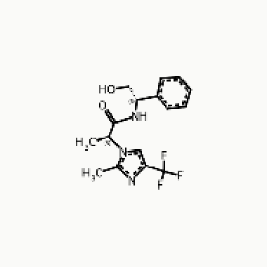 Cc1nc(C(F)(F)F)cn1[C@@H](C)C(=O)N[C@H](CO)c1ccccc1